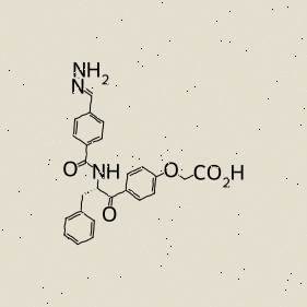 NN=Cc1ccc(C(=O)N[C@@H](Cc2ccccc2)C(=O)c2ccc(OCC(=O)O)cc2)cc1